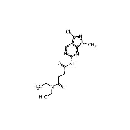 CCN(CC)C(=O)CCC(=O)Nc1ncc2c(Cl)nn(C)c2n1